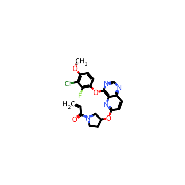 C=CC(=O)N1CCC(Oc2ccc3ncnc(Oc4ccc(OC)c(Cl)c4F)c3n2)C1